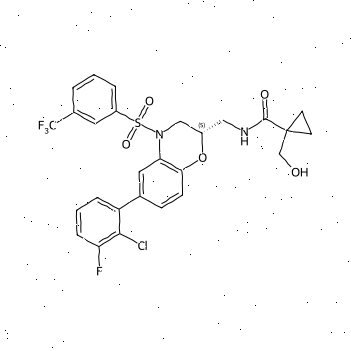 O=C(NC[C@H]1CN(S(=O)(=O)c2cccc(C(F)(F)F)c2)c2cc(-c3cccc(F)c3Cl)ccc2O1)C1(CO)CC1